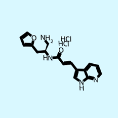 Cl.Cl.NC[C@H](Cc1ccco1)NC(=O)C=Cc1c[nH]c2ncccc12